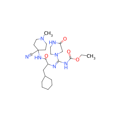 CCOC(=O)N/C(=N/C(CC1CCCCC1)C(=O)NC1(C#N)CCN(C)CC1)N1CCNC(=O)C1